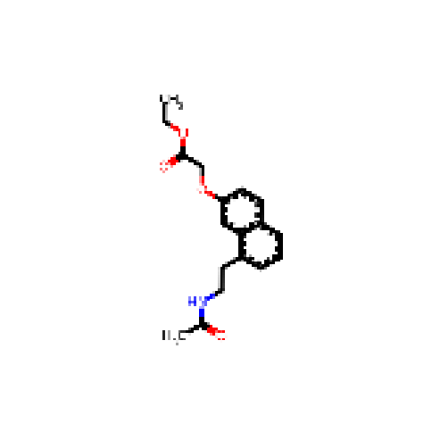 CCOC(=O)COc1ccc2cccc(CCNC(C)=O)c2c1